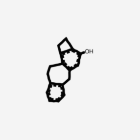 Oc1cc2c(c3c1CC3)CCc1ccccc1C2